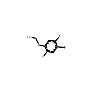 OCOc1cc(F)c(F)cc1F